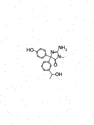 CC(O)c1cccc(C2(c3ccc(O)cc3)N=C(N)N(C)C2=O)c1